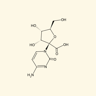 Nc1ccn([C@]2(C(=O)O)O[C@H](CO)[C@@H](O)[C@H]2O)c(=O)n1